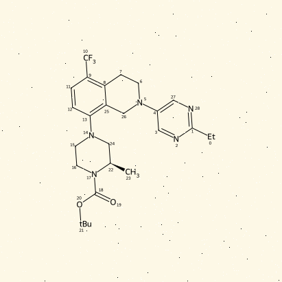 CCc1ncc(N2CCc3c(C(F)(F)F)ccc(N4CCN(C(=O)OC(C)(C)C)[C@H](C)C4)c3C2)cn1